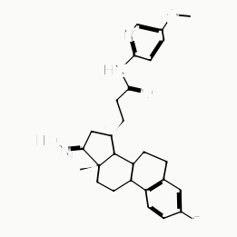 COc1ccc(NC(=O)CC[C@@H]2C/C(=N\O)[C@@]3(C)CCC4c5ccc(F)cc5CCC4C23)nc1